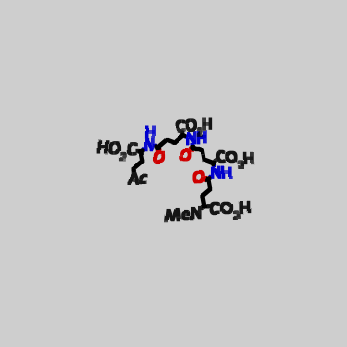 CNC(CCC(=O)NC(CCC(=O)NC(CCC(=O)NC(CCC(C)=O)C(=O)O)C(=O)O)C(=O)O)C(=O)O